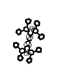 ON1C2(CC(c3ccccc3)CC(c3ccccc3)C2)CC2(CC13CC(c1ccccc1)CC(c1ccccc1)C3)OCC1(CO2)COC2(CC3(CC(c4ccccc4)CC(c4ccccc4)C3)N(O)C3(CC(c4ccccc4)CC(c4ccccc4)C3)C2)OC1